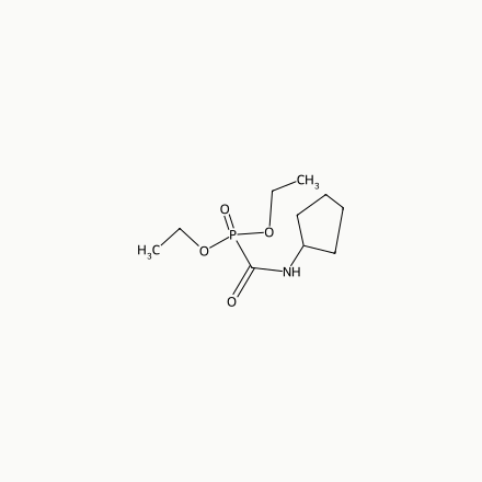 CCOP(=O)(OCC)C(=O)NC1CCCC1